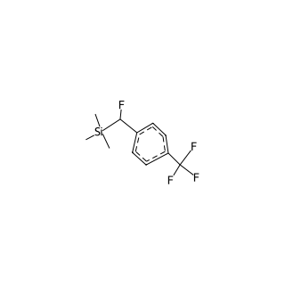 C[Si](C)(C)C(F)c1ccc(C(F)(F)F)cc1